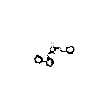 c1ccc(-c2ccccc2Nc2n[nH]c(SCC3CCCCC3)n2)cc1